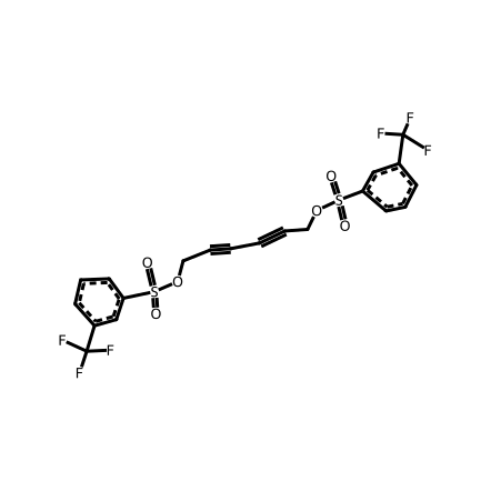 O=S(=O)(OCC#CC#CCOS(=O)(=O)c1cccc(C(F)(F)F)c1)c1cccc(C(F)(F)F)c1